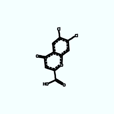 O=C(O)c1cc(=O)c2cc(Cl)c(Cl)cc2o1